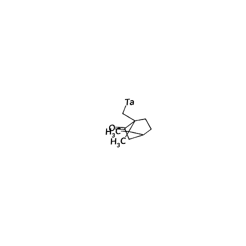 CC1(C)C2CCC1([CH2][Ta])C(=O)C2